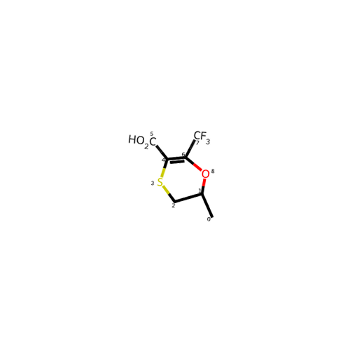 CC1CSC(C(=O)O)=C(C(F)(F)F)O1